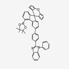 CC1(C)OB(c2cccc3c2-c2cc(-c4ccc(-c5nc6ccccc6n5-c5ccccc5)cc4)ccc2C32c3ccccc3Oc3ccccc32)OC1(C)C